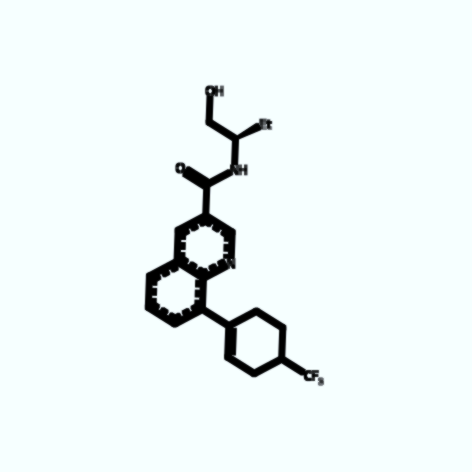 CC[C@H](CO)NC(=O)c1cnc2c(C3=CCC(C(F)(F)F)CC3)cccc2c1